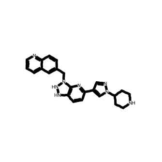 c1cnc2ccc(CN3NNc4ccc(-c5cnn(C6CCNCC6)c5)nc43)cc2c1